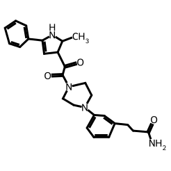 CC1NC(c2ccccc2)=CC1C(=O)C(=O)N1CCN(c2cccc(CCC(N)=O)c2)CC1